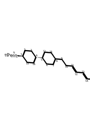 CCCCC[C@H]1CC[C@H](C2CCC(CCC=CC=CC#N)CC2)CC1